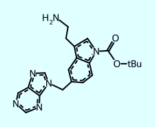 CC(C)(C)OC(=O)n1cc(CCN)c2cc(Cn3cnc4cncnc43)ccc21